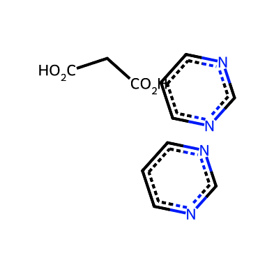 O=C(O)CC(=O)O.c1cncnc1.c1cncnc1